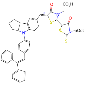 CCCCCCCCN1C(=O)C(C2S/C(=C\C3=CC4=C(CC3)N(c3ccc(C=C(c5ccccc5)c5ccccc5)cc3)C3CCCC43)C(=O)N2CC(=O)O)SC1=S